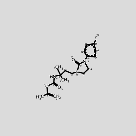 C=C(C)OC(=O)NC(C)(C)CCN1CCN(c2ccc(F)cc2)C1=O